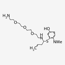 C=CCC(NCCOCCOCCOCCN)Sc1cc(O)ccc1NC